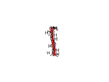 CC(=O)CN[C@@H](CCCCNC(=O)COCCOCCNC(=O)COCCOCCNC(=O)CCCC(=O)NCCCC[C@H](N)C(=O)NCCCC[C@H](NCC(C)=O)C(N)=O)C(N)=O